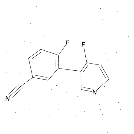 N#Cc1ccc(F)c(-c2cnccc2F)c1